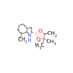 C=C1OB(c2cc3cccc(C)c3[nH]2)OC1(C)C